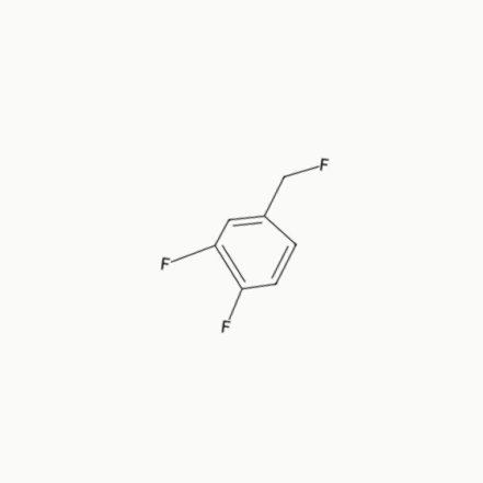 FCc1ccc(F)c(F)c1